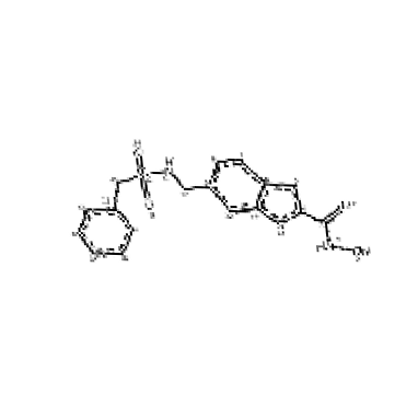 O=C(NO)c1cc2ccc(CNS(=O)(=O)Cc3ccccc3)cc2s1